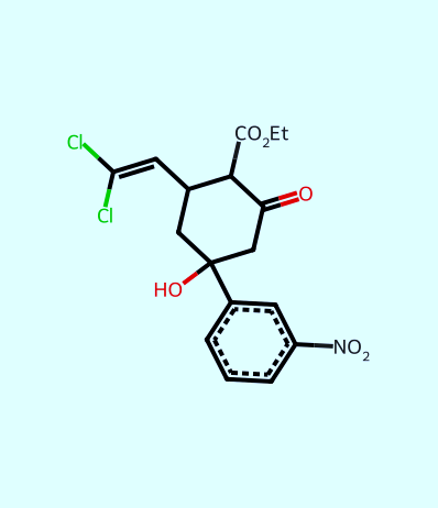 CCOC(=O)C1C(=O)CC(O)(c2cccc([N+](=O)[O-])c2)CC1C=C(Cl)Cl